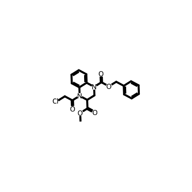 COC(=O)C1CN(C(=O)OCc2ccccc2)c2ccccc2N1C(=O)CCl